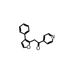 O=C(Cc1occc1-c1ccccc1)c1ccncc1